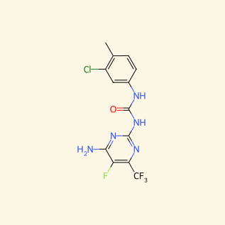 Cc1ccc(NC(=O)Nc2nc(N)c(F)c(C(F)(F)F)n2)cc1Cl